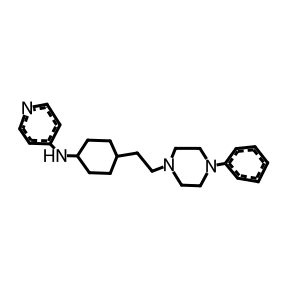 c1ccc(N2CCN(CCC3CCC(Nc4ccncc4)CC3)CC2)cc1